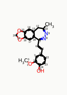 COc1cc(C=CC2=NN=C(C)Cc3cc4c(cc32)OCO4)ccc1O